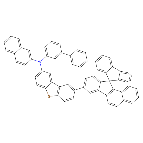 c1ccc(-c2cccc(N(c3ccc4ccccc4c3)c3ccc4sc5ccc(-c6ccc7c(c6)-c6ccc8ccccc8c6C76c7ccccc7-c7ccccc76)cc5c4c3)c2)cc1